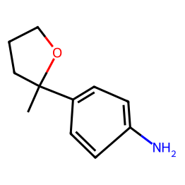 CC1(c2ccc(N)cc2)CCCO1